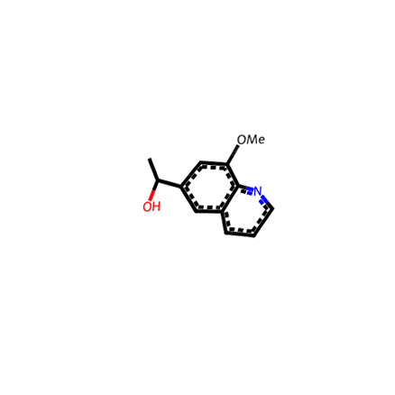 COc1cc(C(C)O)cc2cccnc12